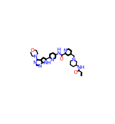 C=CC(=O)NC1CCCN(Cc2ccnc(C(=O)Nc3ccc(-c4cc5c(N6CCOCC6)ncnc5[nH]4)nc3)c2)C1